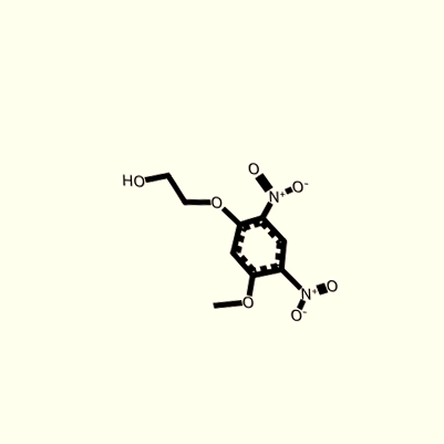 COc1cc(OCCO)c([N+](=O)[O-])cc1[N+](=O)[O-]